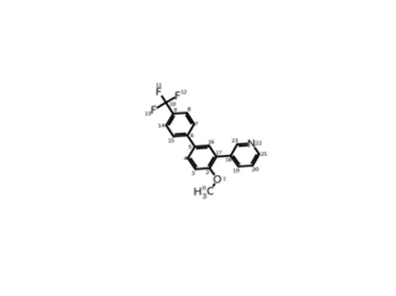 COc1ccc(-c2ccc(C(F)(F)F)cc2)cc1-c1cccnc1